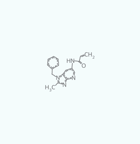 C=CC(=O)Nc1cnc2nc(C)n(Cc3ccccc3)c2c1